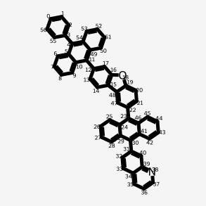 c1ccc(-c2c3ccccc3c(-c3ccc4c(c3)oc3ccc(-c5c6ccccc6c(-c6ccc7cccnc7c6)c6ccccc56)cc34)c3ccccc23)cc1